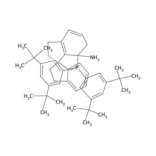 CC(C)(C)c1cc(P(c2cc(C(C)(C)C)cc(C(C)(C)C)c2)C2(N)CC=CC3=C2[C@]2(CC3)CCc3ccccc32)cc(C(C)(C)C)c1